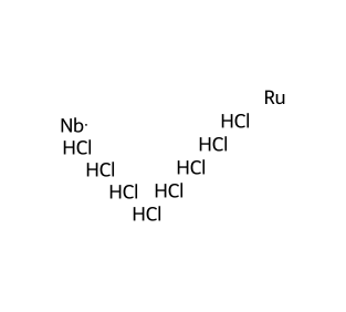 Cl.Cl.Cl.Cl.Cl.Cl.Cl.Cl.[Nb].[Ru]